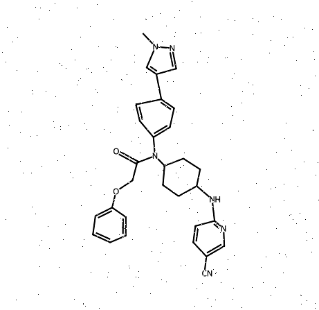 Cn1cc(-c2ccc(N(C(=O)COc3ccccc3)C3CCC(Nc4ccc(C#N)cn4)CC3)cc2)cn1